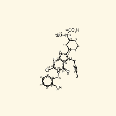 CC#CCn1c(N2CCCC(N(C(=O)O)C(C)(C)C)C2)nc2nc(Cl)n(Cc3ccccc3C#N)c(=O)c21